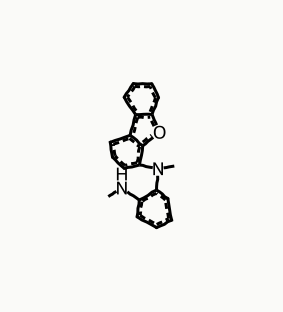 CNc1ccccc1N(C)c1cccc2c1oc1ccccc12